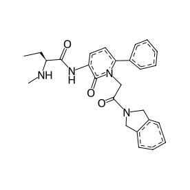 CC[C@H](NC)C(=O)Nc1ccc(-c2ccccc2)n(CC(=O)N2Cc3ccccc3C2)c1=O